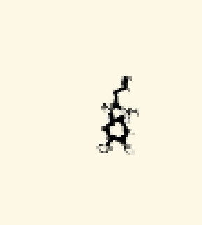 C=CCc1nc2cc(Cl)c(Cl)cc2[nH]1